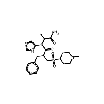 CC(C(N)=O)N(C(=O)C(Cc1ccccc1)CS(=O)(=O)C1CCN(C)CC1)c1cscn1